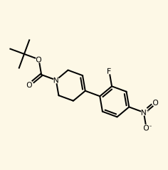 CC(C)(C)OC(=O)N1CC=C(c2ccc([N+](=O)[O-])cc2F)CC1